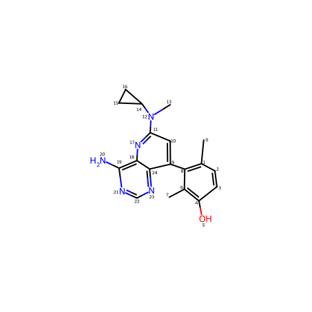 Cc1ccc(O)c(C)c1-c1cc(N(C)C2CC2)nc2c(N)ncnc12